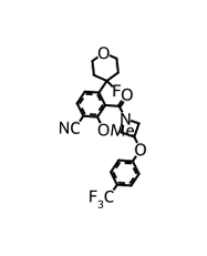 COc1c(C#N)ccc(C2(F)CCOCC2)c1C(=O)N1CC(Oc2ccc(C(F)(F)F)cc2)C1